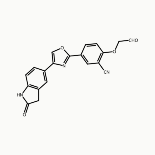 N#Cc1cc(-c2nc(-c3ccc4c(c3)CC(=O)N4)co2)ccc1OCC=O